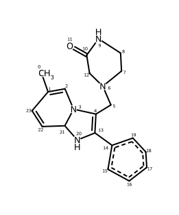 CC1=CN2C(CN3CCNC(=O)C3)=C(c3ccccc3)NC2C=C1